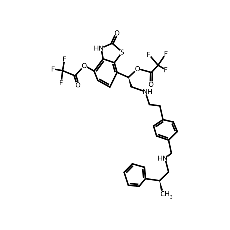 C[C@H](CNCc1ccc(CCNC[C@H](OC(=O)C(F)(F)F)c2ccc(OC(=O)C(F)(F)F)c3[nH]c(=O)sc23)cc1)c1ccccc1